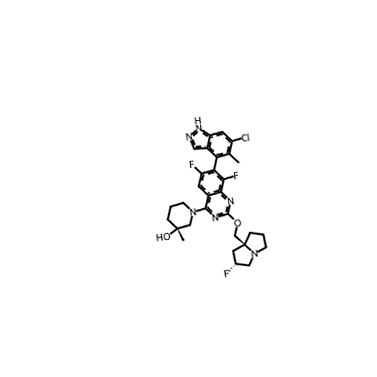 Cc1c(Cl)cc2[nH]ncc2c1-c1c(F)cc2c(N3CCC[C@@](C)(O)C3)nc(OC[C@@]34CCCN3C[C@H](F)C4)nc2c1F